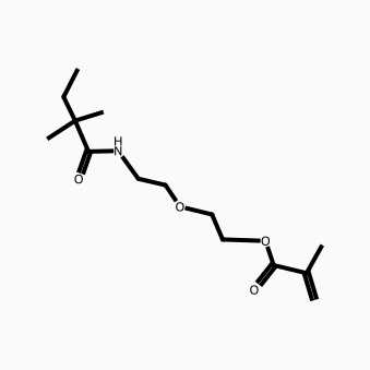 C=C(C)C(=O)OCCOCCNC(=O)C(C)(C)CC